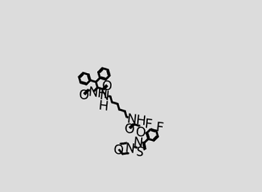 O=CNC(C(=O)NCCCCCCNC(=O)COc1c(-c2csc(N3CCOCC3)n2)ccc(F)c1F)C(c1ccccc1)c1ccccc1